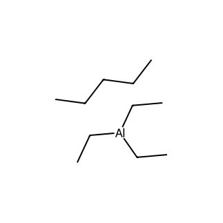 CCCCC.C[CH2][Al]([CH2]C)[CH2]C